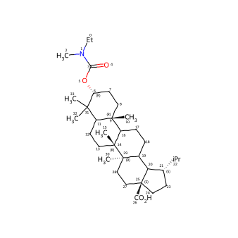 CCN(C)C(=O)O[C@@H]1CC[C@@]2(C)C(CC[C@]3(C)C2CCC2C4[C@H](C(C)C)CC[C@]4(C(=O)O)CC[C@]23C)C1(C)C